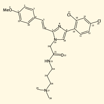 COc1ccc(C=Cc2nc(-c3ccc(Cl)cc3Cl)cn2CC(=O)NCCCN(C)C)cc1